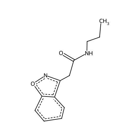 CCCNC(=O)Cc1noc2ccccc12